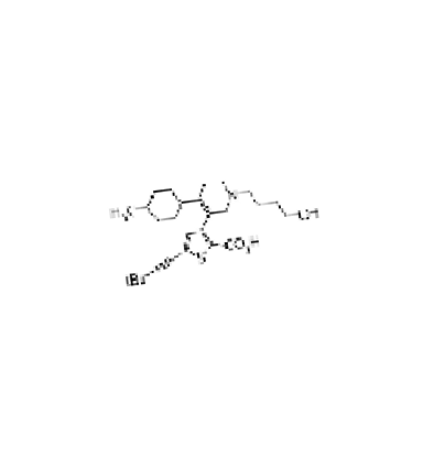 CC1CCC(C2=C(c3cc(C#CC(C)(C)C)sc3C(=O)O)CN(CCCCO)CC2)CC1